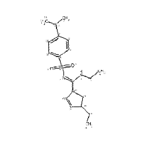 CCN/C(=N\S(=O)(=O)c1ccc(N(C)C)cc1)N1CC(CC)C=N1